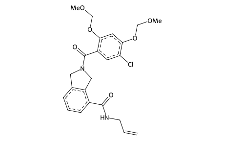 C=CCNC(=O)c1cccc2c1CN(C(=O)c1cc(Cl)c(OCOC)cc1OCOC)C2